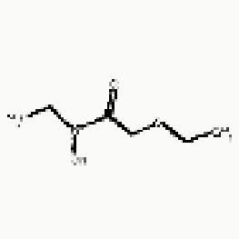 CCSCC(=O)N(O)CC